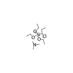 CCO[Si](OCC)(OCC)C(Cl)CC.CN(C)C